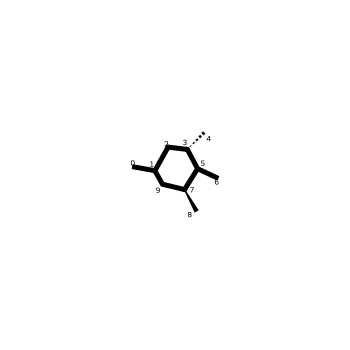 CC1C[C@H](C)C(C)[C@@H](C)C1